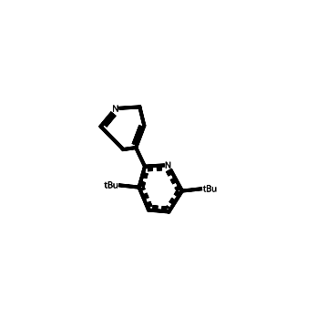 CC(C)(C)c1ccc(C(C)(C)C)c(C2=CCN=CC2)n1